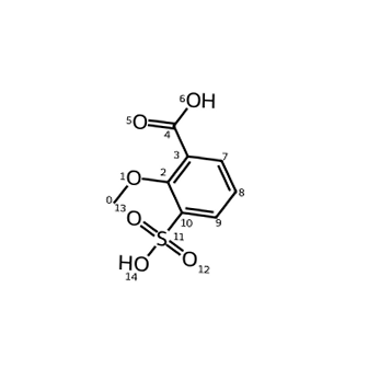 COc1c(C(=O)O)cccc1S(=O)(=O)O